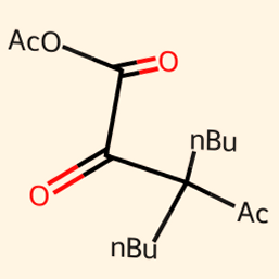 CCCCC(CCCC)(C(C)=O)C(=O)C(=O)OC(C)=O